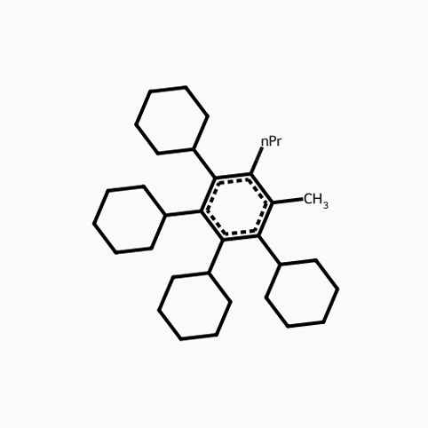 CCCc1c(C)c(C2CCCCC2)c(C2CCCCC2)c(C2CCCCC2)c1C1CCCCC1